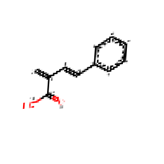 C=C(/C=C/c1ccccc1)C(=O)O